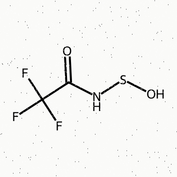 O=C(NSO)C(F)(F)F